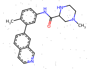 Cc1ccc(NC(=O)C2CN(C)CCN2)cc1-c1ccc2ccncc2c1